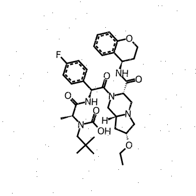 CCO[C@@H]1C[C@@H]2CN(C(=O)[C@@H](NC(=O)[C@H](C)N(CC(C)(C)C)C(=O)O)c3ccc(F)cc3)[C@H](C(=O)N[C@@H]3CCOc4ccccc43)CN2C1